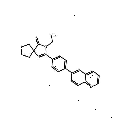 CCN1C(=O)C2(CCCC2)N=C1c1ccc(-c2ccc3ncccc3c2)cc1